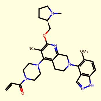 C=CC(=O)N1CCN(c2c(C#N)c(OC[C@H]3CCCN3C)nc3c2CCN(c2c(OC)ccc4[nH]ncc24)C3)CC1